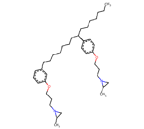 CCCCCCCC(CCCCCCCc1cccc(OCCCN2CC2C)c1)c1ccc(OCCCN2CC2C)cc1